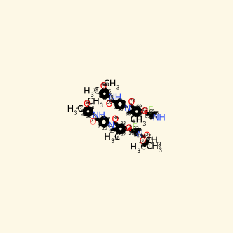 COc1cc(NC(=O)C2CCC(N3Cc4c(C)cc(OCC5(F)CN(C(=O)OC(C)(C)C)C5)cc4C3=O)CC2)ccc1C.COc1cc(NC(=O)C2CCC(N3Cc4c(C)cc(OCC5(F)CNC5)cc4C3=O)CC2)ccc1C